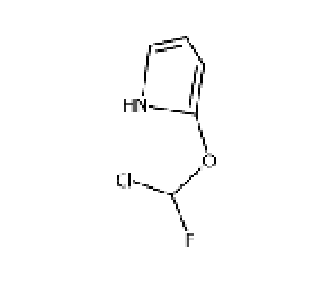 FC(Cl)Oc1ccc[nH]1